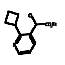 CCOC(=O)C(Cl)c1cccnc1C1CCC1